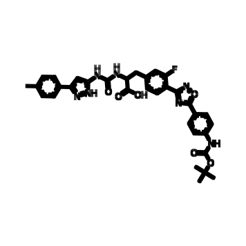 Cc1ccc(-c2cc(NC(=O)NC(Cc3ccc(-c4noc(-c5ccc(NC(=O)OC(C)(C)C)cc5)n4)c(F)c3)C(=O)O)[nH]n2)cc1